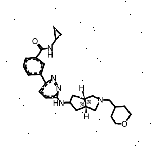 O=C(NC1CC1)c1cccc(-c2ccc(NC3C[C@@H]4CN(CC5CCOCC5)C[C@@H]4C3)nn2)c1